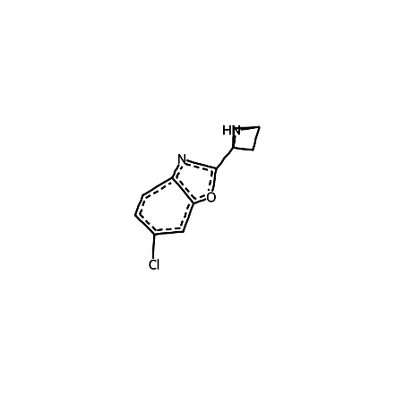 Clc1ccc2nc(C34CC(C3)N4)oc2c1